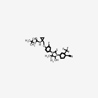 CC(C)(C)OC(=O)NC1(COc2ccc(N3C(=S)N(c4ccc(C#N)c(C(F)(F)F)c4)C(O)C3(C)C)cc2F)CC1